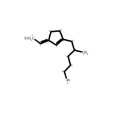 CCOC(=O)/C=C1/C=C(CC(C)CCCC(C)C)CC1